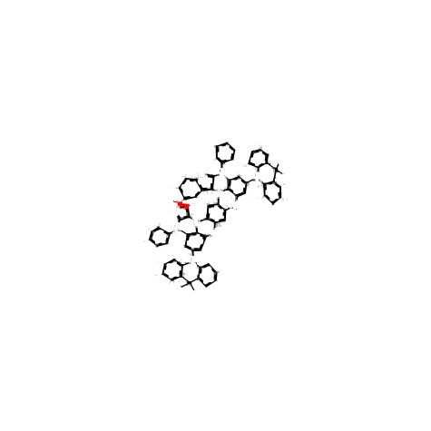 CC1(C)c2ccccc2N(c2cc3c4c(c2)N(c2ccccc2)c2oc5ccccc5c2B4c2cc4c(cc2O3)Oc2cc(N3c5ccccc5C(C)(C)c5ccccc53)cc3c2B4c2c(oc4ccccc24)N3c2ccccc2)c2ccccc21